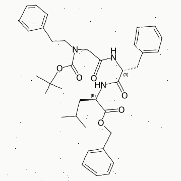 CC(C)C[C@@H](NC(=O)[C@@H](Cc1ccccc1)NC(=O)CN(CCc1ccccc1)C(=O)OC(C)(C)C)C(=O)OCc1ccccc1